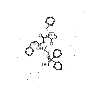 CC(C)(C)[Si](OCCC[C@@H](C(=O)N1C(=O)OC[C@H]1Cc1ccccc1)[C@H](O)/C=C\c1ccccc1)(c1ccccc1)c1ccccc1